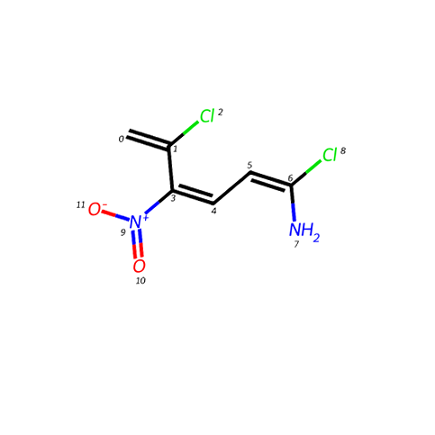 C=C(Cl)/C(=C\C=C(/N)Cl)[N+](=O)[O-]